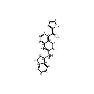 O=C(c1cccs1)c1cccc2nc(N[C@@H]3CCc4ccccc43)ccc12